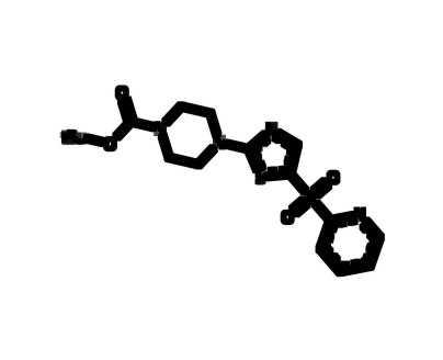 CC(C)(C)OC(=O)N1CCN(c2ncc(S(=O)(=O)c3ccccn3)s2)CC1